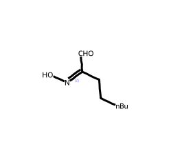 CCCCCC/C(C=O)=N/O